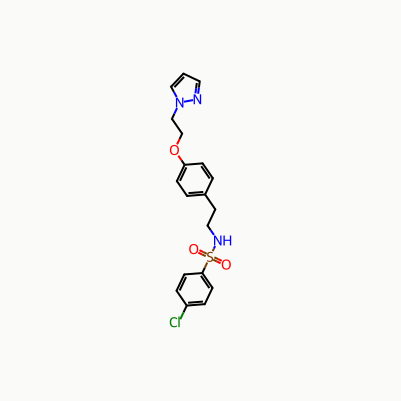 O=S(=O)(NCCc1ccc(OCCn2cccn2)cc1)c1ccc(Cl)cc1